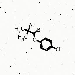 CC(=O)C(C)(C)C(Br)Oc1ccc(Cl)cc1